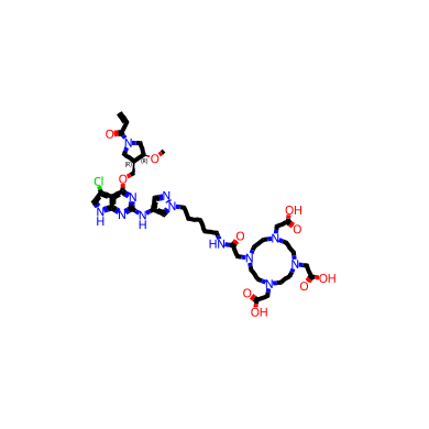 C=CC(=O)N1C[C@H](COc2nc(Nc3cnn(CCCCCNC(=O)CN4CCN(CC(=O)O)CCN(CC(=O)O)CCN(CC(=O)O)CC4)c3)nc3[nH]cc(Cl)c23)[C@@H](OC)C1